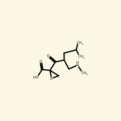 CNCC(CC(C)C)C(=O)C1(C(=O)O)CO1